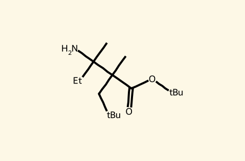 CCC(C)(N)C(C)(CC(C)(C)C)C(=O)OC(C)(C)C